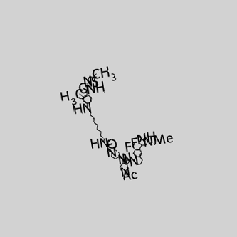 CNCC(C=N)c1cc2c(cc1C(F)F)N(c1nn(C3CCN(CC(=O)NCCCCCCCCCNc4ccc(C(=O)Nc5ncc(C)s5)c(C)c4)CC3)c3c1CN(C(C)=O)CC3)CCC2